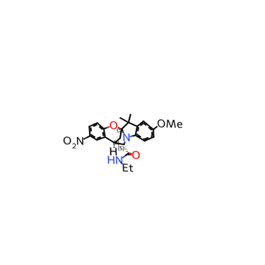 CCNC(=O)[C@@H]1[C@@H]2C[C@@]3(Oc4ccc([N+](=O)[O-])cc42)N1c1ccc(OC)cc1C3(C)C